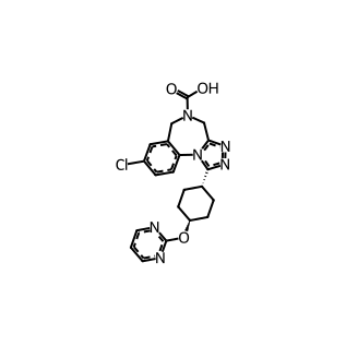 O=C(O)N1Cc2cc(Cl)ccc2-n2c(nnc2[C@H]2CC[C@H](Oc3ncccn3)CC2)C1